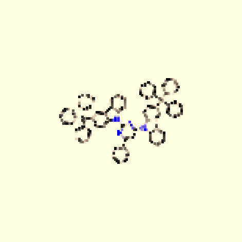 c1ccc(-c2cc(-n3c4ccccc4c4cc([Si](c5ccccc5)(c5ccccc5)c5ccccc5)ccc43)nc(-n3c4ccccc4c4cc([Si](c5ccccc5)(c5ccccc5)c5ccccc5)ccc43)n2)cc1